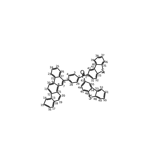 O=P(c1ccc(-c2cc3c(ccc4c5ccccc5ccc43)c3ccccc23)cc1)(c1ccc2sc3ccccc3c2c1)c1ccc2sc3ccccc3c2c1